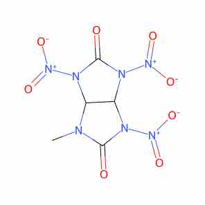 CN1C(=O)N([N+](=O)[O-])C2C1N([N+](=O)[O-])C(=O)N2[N+](=O)[O-]